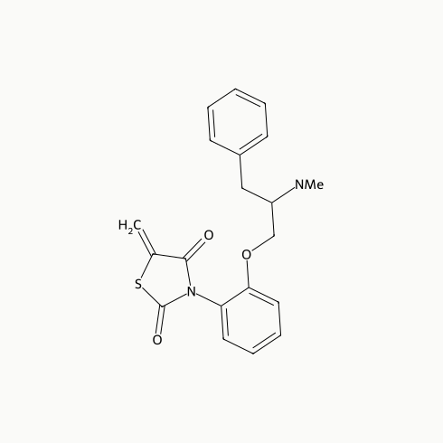 C=C1SC(=O)N(c2ccccc2OCC(Cc2ccccc2)NC)C1=O